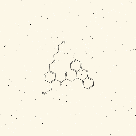 CSc1ccc(COCCCO)cc1NC(=O)CC1c2ccccc2Oc2ccccc21